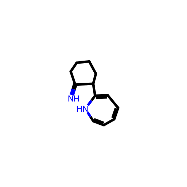 N=C1CCCCC1C1=CC=CC=CN1